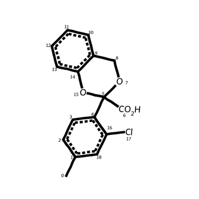 Cc1ccc(C2(C(=O)O)OCc3ccccc3O2)c(Cl)c1